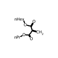 C=C(C(=O)OCCC)C(=O)OCCCCCC